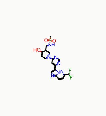 CS(=O)(=O)NCC1CN(c2cc(-c3cnc4ccc(C(F)F)nn34)ncn2)CCC1O